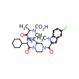 CC(C(=O)NC(C(=O)N1CCN(C(=O)c2cc3cc(F)ccc3n2C)C[C@H]1C)C1CCCCC1)N(C)C(=O)O